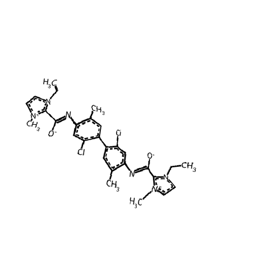 CCn1cc[n+](C)c1/C([O-])=N/c1cc(Cl)c(-c2cc(C)c(/N=C(\[O-])c3n(CC)cc[n+]3C)cc2Cl)cc1C